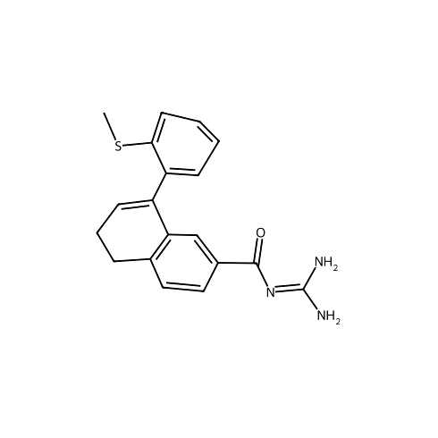 CSc1ccccc1C1=CCCc2ccc(C(=O)N=C(N)N)cc21